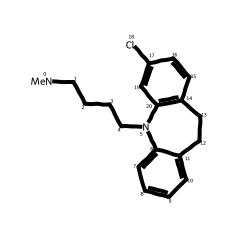 CNCCCCN1c2ccccc2CCc2ccc(Cl)cc21